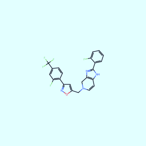 Fc1cc(C(F)(F)F)ccc1-c1cc(CN2C=Cc3[nH]c(-c4ccccc4F)nc3C2)on1